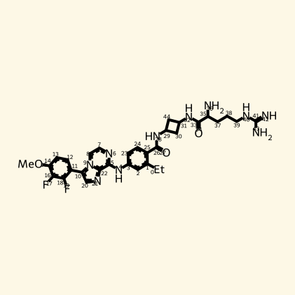 CCc1cc(Nc2nccn3c(-c4ccc(OC)c(F)c4F)cnc23)ccc1C(=O)NC1CC(NC(=O)C(N)CCCNC(=N)N)C1